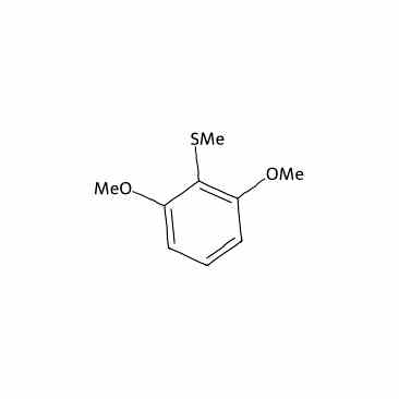 COc1cccc(OC)c1SC